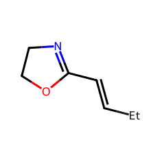 CCC=CC1=NCCO1